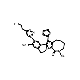 COc1cc2c(cc1-n1cc(CCO)nn1)-c1c(-c3cccs3)c3c(n1CC2)C(=O)N(C(C)(C)C)CCCC3